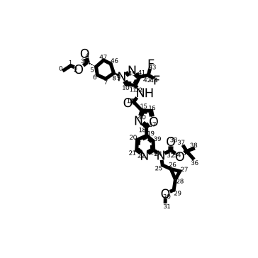 CCOC(=O)[C@H]1CC[C@H](n2cc(NC(=O)c3coc(-c4ccnc(N(CC5CC5COC)C(=O)OC(C)(C)C)c4)n3)c(C(F)F)n2)CC1